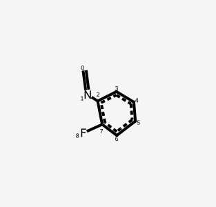 C=Nc1ccccc1F